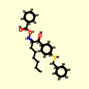 CCCCCCC(=NOC(=O)c1ccccc1)C(=O)c1ccc(SCc2ccccc2)cc1